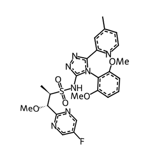 COc1cccc(OC)c1-n1c(NS(=O)(=O)[C@H](C)[C@@H](OC)c2ncc(F)cn2)nnc1-c1cc(C)ccn1